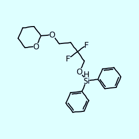 FC(F)(CCOC1CCCCO1)CO[SiH](c1ccccc1)c1ccccc1